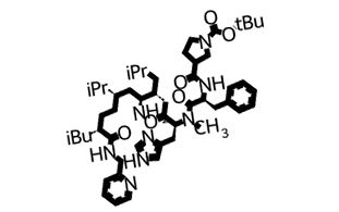 CCC(C)[C@H](CC[C@@H](C[C@H](N)[C@@H](CC(=O)[C@H](Cc1c[nH]cn1)N(C)C(=O)[C@H](Cc1ccccc1)NC(=O)C1CCN(C(=O)OC(C)(C)C)C1)CC(C)C)C(C)C)C(=O)NCc1ccccn1